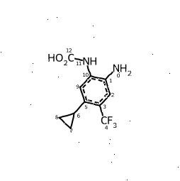 Nc1cc(C(F)(F)F)c(C2CC2)cc1NC(=O)O